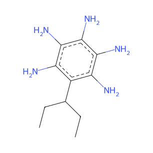 CCC(CC)c1c(N)c(N)c(N)c(N)c1N